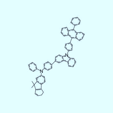 CC1(C)C2=C(CCC=C2)c2ccc(N(c3ccccc3)c3ccc(-c4ccc5c(c4)c4ccccc4n5-c4ccc(-c5c6ccccc6c(-c6ccccc6)c6ccccc56)cc4)cc3)cc21